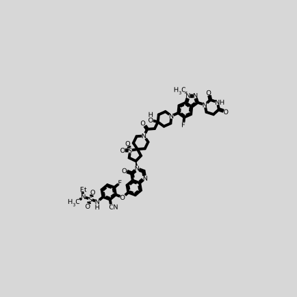 CCN(C)S(=O)(=O)Nc1ccc(F)c(Oc2ccc3ncn([C@@H]4CC5(CCN(C(=O)CC6(O)CCN(c7cc8c(cc7F)c(N7CCC(=O)NC7=O)nn8C)CC6)CC5)S(=O)(=O)C4)c(=O)c3c2)c1C#N